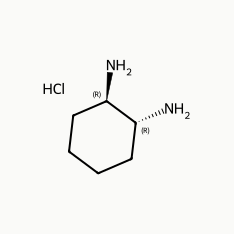 Cl.N[C@@H]1CCCC[C@H]1N